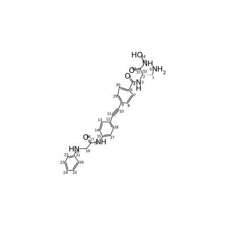 NC[C@H](NC(=O)c1ccc(C#Cc2ccc(NC(=O)CNc3ccccc3)cc2)cc1)C(=O)NO